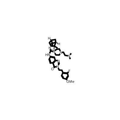 COc1ccc(CCn2cnc3cc(N/C(=N/C4C[C@@H]5C[C@H]([C@@H]4C)C5(C)C)N4CCN(CCN(C)C)CC4)ccc3c2=O)c(F)c1